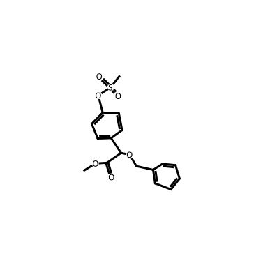 COC(=O)C(OCc1ccccc1)c1ccc(OS(C)(=O)=O)cc1